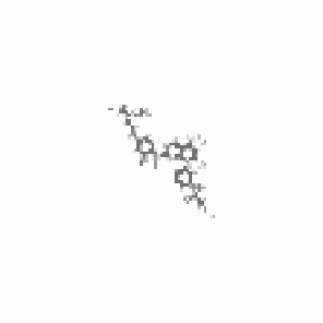 C=CC(=O)Nc1cccc(-n2c(=O)cc(C)c3cnc(Nc4ccc(OCCN(C)C)cc4F)nc32)c1